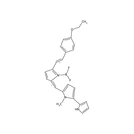 CCOc1ccc(/C=C/C2=[N+](B(F)F)C(=C\c3ccc(-c4ccc[nH]4)n3C)/C=C2)cc1